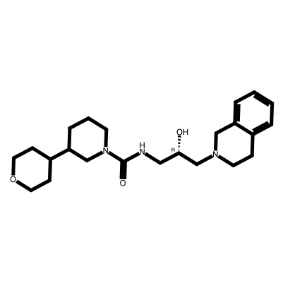 O=C(NC[C@H](O)CN1CCc2ccccc2C1)N1CCCC(C2CCOCC2)C1